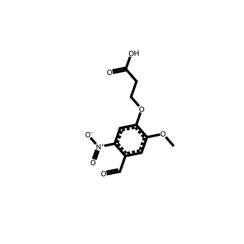 COc1cc(C=O)c([N+](=O)[O-])cc1OCCC(=O)O